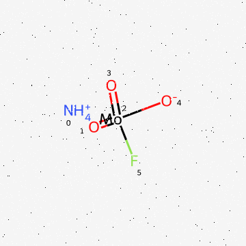 [NH4+].[O]=[Mo](=[O])([O-])[F]